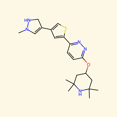 CN1C=C(c2csc(-c3ccc(OC4CC(C)(C)NC(C)(C)C4)nn3)c2)CN1